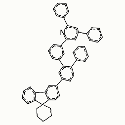 c1ccc(-c2cc(-c3ccccc3)nc(-c3cccc(-c4cc(-c5ccc6c(c5)-c5ccccc5C65CCCCC5)ccc4-c4ccccc4)c3)c2)cc1